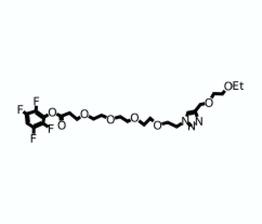 CCOCCOCc1cn(CCOCCOCCOCCOCCC(=O)Oc2c(F)c(F)cc(F)c2F)nn1